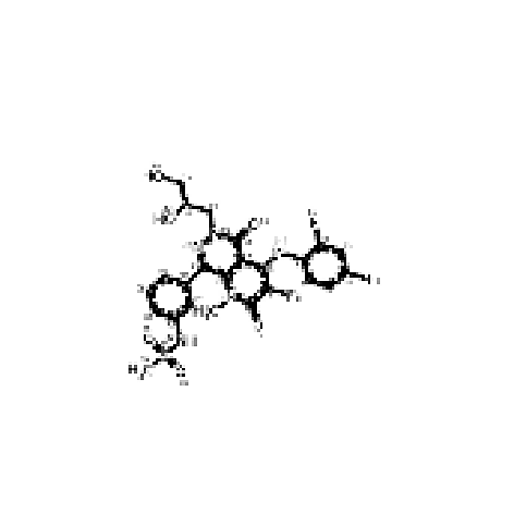 Cn1c(=O)c(F)c(Nc2ccc(I)cc2F)c2c(=O)n(CC(O)CO)nc(-c3cccc(NS(C)(=O)=O)c3)c21